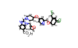 O=C(O)c1ccc2nc(CN3CCC(Oc4ccnc(COc5ccc(Cl)cc5CF)c4)CC3)n(C[C@@H]3CCO3)c2c1